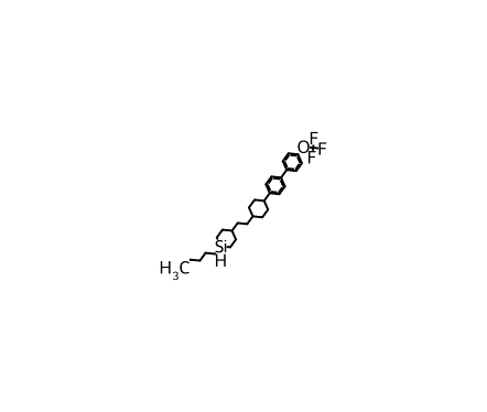 CCCCC[SiH]1CCC(CCC2CCC(c3ccc(-c4ccc(OC(F)(F)F)cc4)cc3)CC2)CC1